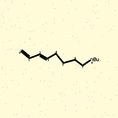 [C]=CC=CCCCCCCCC